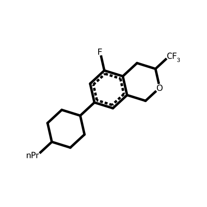 CCCC1CCC(c2cc(F)c3c(c2)COC(C(F)(F)F)C3)CC1